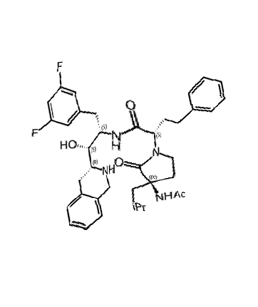 CC(=O)N[C@]1(CC(C)C)CCN([C@@H](CCc2ccccc2)C(=O)N[C@@H](Cc2cc(F)cc(F)c2)[C@@H](O)[C@H]2Cc3ccccc3CN2)C1=O